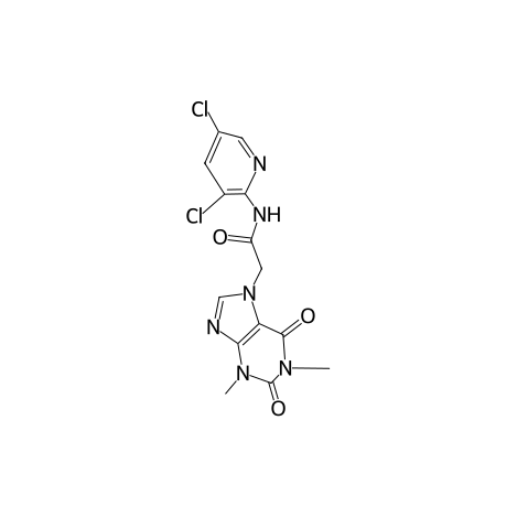 Cn1c(=O)c2c(ncn2CC(=O)Nc2ncc(Cl)cc2Cl)n(C)c1=O